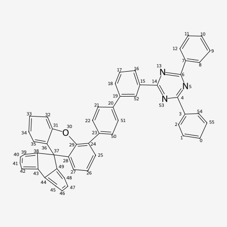 c1ccc(-c2nc(-c3ccccc3)nc(-c3cccc(-c4ccc(-c5cccc6c5Oc5ccccc5C65c6ccccc6-c6ccccc65)cc4)c3)n2)cc1